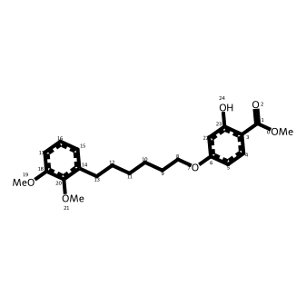 COC(=O)c1ccc(OCCCCCCc2cccc(OC)c2OC)cc1O